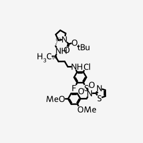 COc1ccc(CN(c2nccs2)S(=O)(=O)c2cc(Cl)c(NCCC[C@@H](C)NC[C@@H]3CCCN3C(=O)OC(C)(C)C)cc2F)c(OC)c1